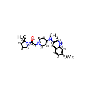 COc1ccc2cc(N(C)C3CCN(CC(=O)N4CCC[C@H]4C)CC3)cnc2c1